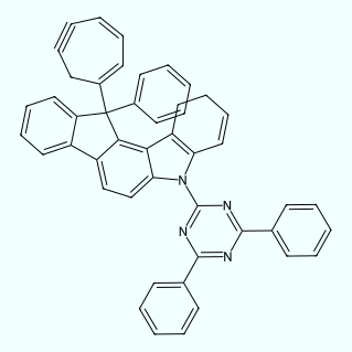 C1#CCC(C2(c3ccccc3)c3ccccc3-c3ccc4c(c5c(n4-c4nc(-c6ccccc6)nc(-c6ccccc6)n4)C=CCC5)c32)=CC=C1